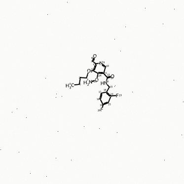 CCCCOc1c(C=O)ncc(C(=O)NCc2ccc(F)cc2F)c1ON